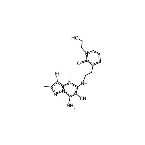 CCc1c(C)nn2c(N)c(C#N)c(NCCc3cccn(CCO)c3=O)nc12